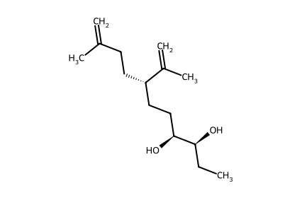 C=C(C)CC[C@@H](CC[C@H](O)[C@@H](O)CC)C(=C)C